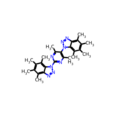 Cc1nc(-n2nnc3c(C)c(C)c(C)c(C)c32)nc(C)c1-n1nnc2c(C)c(C)c(C)c(C)c21